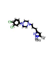 CCCc1cc(CCCN2CCN(c3ccc(Cl)c(Cl)c3)CC2)nn1C(C)(C)C